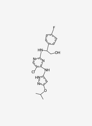 CC(C)Oc1cc(Nc2nc(NC(CO)c3ccc(F)cc3)ncc2Cl)[nH]n1